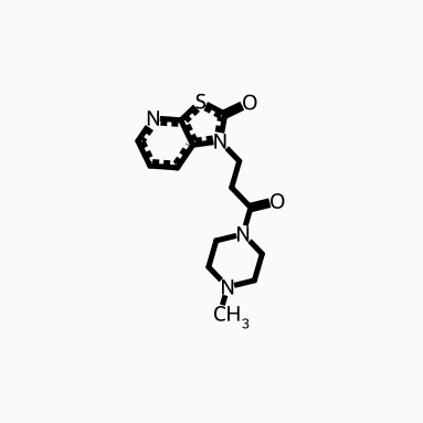 CN1CCN(C(=O)CCn2c(=O)sc3ncccc32)CC1